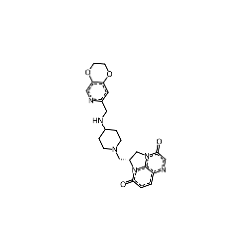 O=c1cnc2ccc(=O)n3c2n1C[C@H]3CN1CCC(NCc2cc3c(cn2)OCCO3)CC1